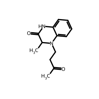 CC(=O)CCN1c2ccccc2NC(=O)C1C